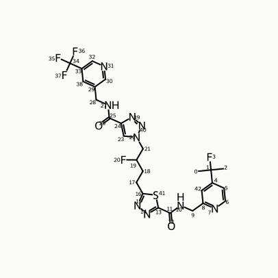 CC(C)(F)c1ccnc(CNC(=O)c2nnc(CCC(F)Cn3cc(C(=O)NCc4cncc(C(F)(F)F)c4)nn3)s2)c1